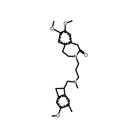 COc1cc2c(cc1C)C(CN(C)CCCN1CCc3cc(OC)c(OC)cc3CC1=O)C2